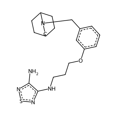 Nc1nsnc1NCCCOc1cccc(CN2CC3CCC(CC3)C2)c1